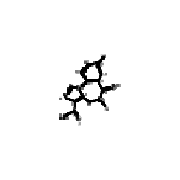 CCC(=O)c1ncn2c1CN(C)C(=O)c1cc(C)ccc1-2